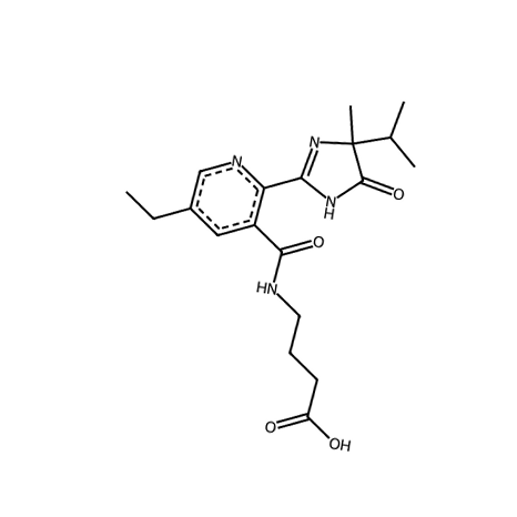 CCc1cnc(C2=NC(C)(C(C)C)C(=O)N2)c(C(=O)NCCCC(=O)O)c1